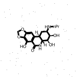 CCCNC1C[C@@H]2c3cc4c(c(O)c3C(=O)N[C@H]2[C@H](O)[C@@H]1O)OCO4